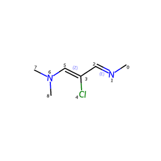 C/N=C/C(Cl)=C/N(C)C